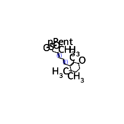 CCCCCS(=O)(=O)C/C(C)=C/C=C/C1=C(C)C(=O)CCC1(C)C